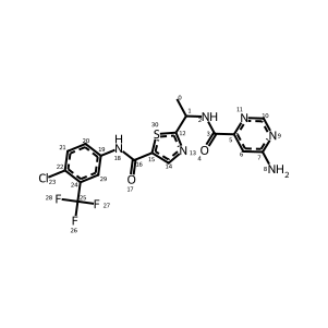 CC(NC(=O)c1cc(N)ncn1)c1ncc(C(=O)Nc2ccc(Cl)c(C(F)(F)F)c2)s1